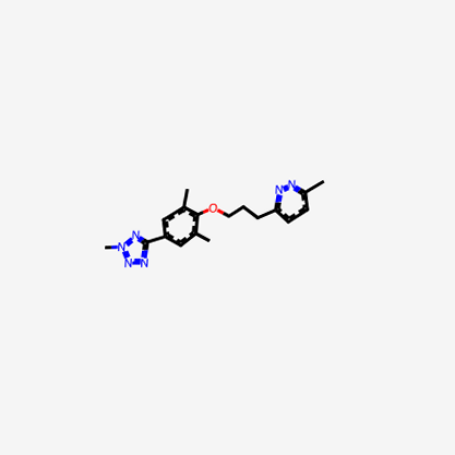 Cc1ccc(CCCOc2c(C)cc(-c3nnn(C)n3)cc2C)nn1